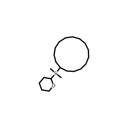 C[Si](C)(C1CCCCCCCCCCCCCC1)C1CCCCO1